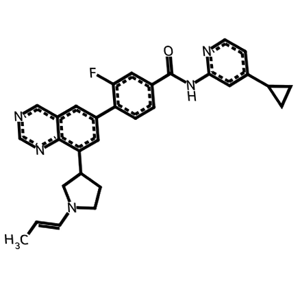 CC=CN1CCC(c2cc(-c3ccc(C(=O)Nc4cc(C5CC5)ccn4)cc3F)cc3cncnc23)C1